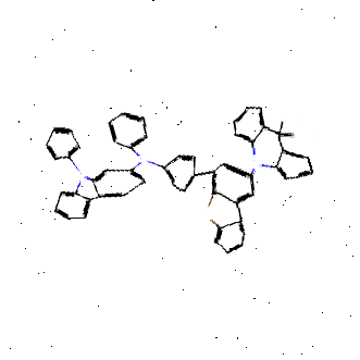 CC1(C)c2ccccc2N(c2cc(-c3ccc(N(c4ccccc4)c4ccc5c6ccccc6n(-c6ccccc6)c5c4)cc3)c3sc4ccccc4c3c2)c2ccccc21